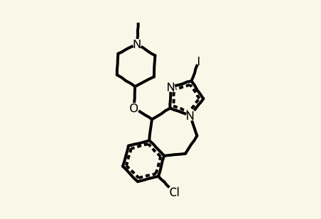 CN1CCC(OC2c3cccc(Cl)c3CCn3cc(I)nc32)CC1